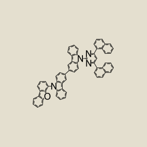 c1ccc2c(-c3cc(-c4cccc5ccccc45)nc(-n4c5ccccc5c5cc(-c6ccc7c(c6)c6ccccc6n7-c6cccc7c6oc6ccccc67)ccc54)n3)cccc2c1